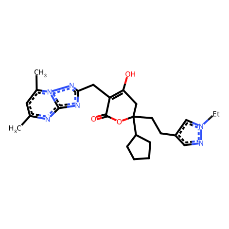 CCn1cc(CCC2(C3CCCC3)CC(O)=C(Cc3nc4nc(C)cc(C)n4n3)C(=O)O2)cn1